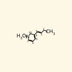 CCC=CC1=CC=CN(C)C1